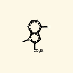 CCOC(=O)c1cc2c(Cl)ncnc2n1C